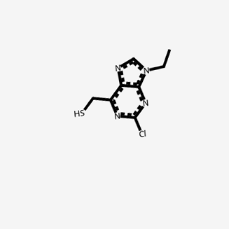 CCn1cnc2c(CS)nc(Cl)nc21